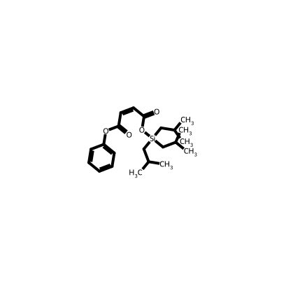 CC(C)C[Si](CC(C)C)(CC(C)C)OC(=O)/C=C\C(=O)Oc1ccccc1